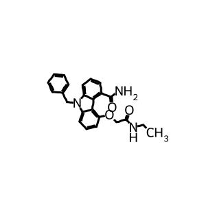 CCNC(=O)COc1cccc2c1c1c(C(N)=O)cccc1n2Cc1ccccc1